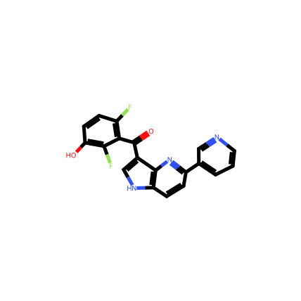 O=C(c1c(F)ccc(O)c1F)c1c[nH]c2ccc(-c3cccnc3)nc12